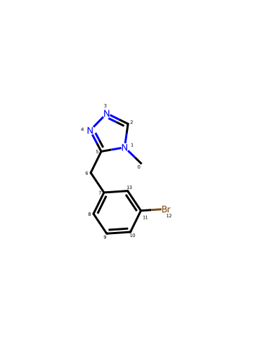 Cn1cnnc1Cc1cccc(Br)c1